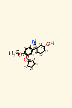 COc1ccc([C@]2(C#N)CCC[C@H](O)C2)cc1OC1CCCC1